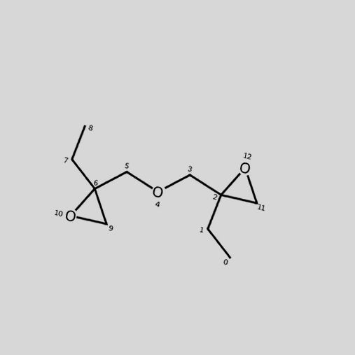 CCC1(COCC2(CC)CO2)CO1